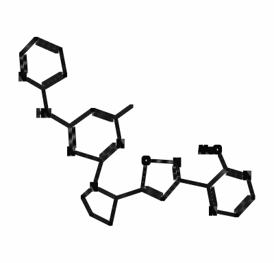 COc1nccnc1-c1cc(C2CCCN2c2nc(C)cc(Nc3ccccn3)n2)on1